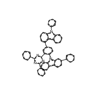 c1ccc(-c2ccc3c4ccccc4n(-c4ccc(-c5cccc6c5c5ccccc5n6-c5ccccc5)cc4-c4nc(-c5ccccc5)nc(-c5ccccc5)n4)c3c2)cc1